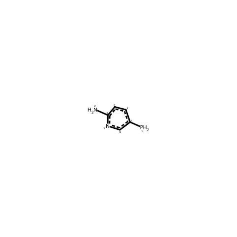 Nc1ccc(P)cn1